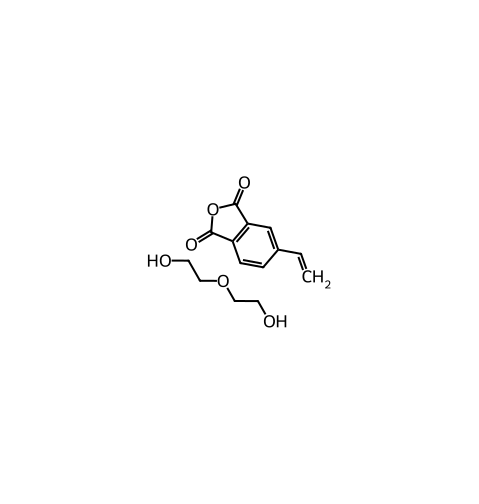 C=Cc1ccc2c(c1)C(=O)OC2=O.OCCOCCO